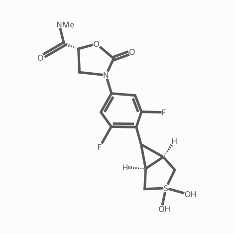 CNC(=O)[C@H]1CN(c2cc(F)c(C3[C@H]4CS(O)(O)C[C@@H]34)c(F)c2)C(=O)O1